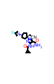 N#CC[C@]1(n2cc(C(N)=O)c(NC(=O)C3CC3)n2)CC[C@H](N2CC(F)C2)CC1